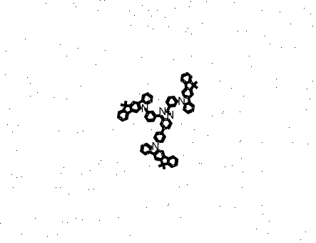 CC1(C)c2ccccc2-c2cc3c(cc21)c1ccccc1n3-c1ccc(-c2ccc3nc(-c4cccc(-n5c6ccccc6c6cc7c(cc65)-c5ccccc5C7(C)C)c4)nc(-c4cccc(-n5c6ccccc6c6cc7c(cc65)-c5ccccc5C7(C)C)c4)c3c2)cc1